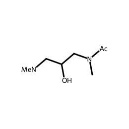 CNCC(O)CN(C)C(C)=O